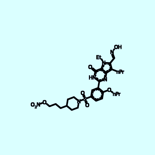 CCCOc1ccc(S(=O)(=O)N2CCC(CCCO[N+](=O)[O-])CC2)cc1-c1nc2c(CCC)c(C=NO)n(CC)c2c(=O)[nH]1